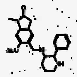 COc1cc2c(cc1CNC1CCCNC1c1ccccc1)[C@@H](C)C(=O)N2C